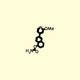 COc1cc(-c2ccc3c(c2)CCCC3OC(N)=O)ccn1